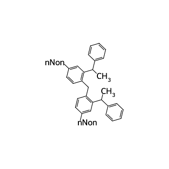 CCCCCCCCCc1ccc(Cc2ccc(CCCCCCCCC)cc2C(C)c2ccccc2)c(C(C)c2ccccc2)c1